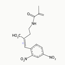 C=C(C)C(=O)NCC/C(=C\c1ccc([N+](=O)[O-])cc1[N+](=O)[O-])C(=O)O